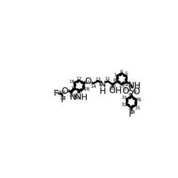 O=S(=O)(Nc1cccc([C@@H](O)CNCCOc2ccc3c(OC(F)F)n[nH]c3c2)c1)c1ccc(F)cc1